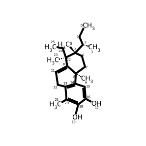 CC[C@H](C)[C@]1(C)CC[C@]2(C)C(=CCc3c2cc(O)c(O)c3C)[C@@]1(C)CC